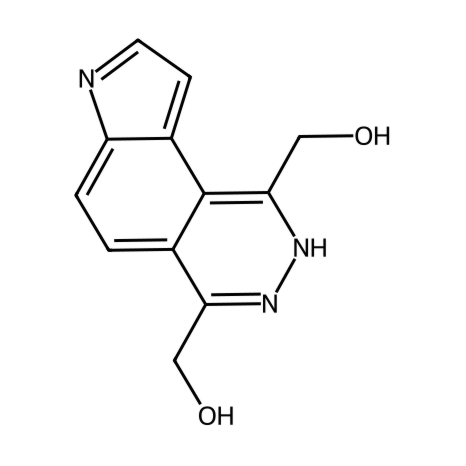 OCc1n[nH]c(CO)c2c1ccc1nccc12